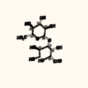 O=C[C@H](O)[C@@H](O)[C@@H](O[C@@H]1O[C@H](C(=O)O)[C@@H](O)[C@H](O)[C@H]1O)[C@H](O)CO